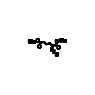 CC(C)(C)OC(=O)CCCC(N=C=O)C(=O)OC(C)(C)C